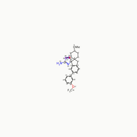 COC1CCC2(CC1)Cc1ccc(-c3cccc(OC(F)(F)F)c3)cc1C21N=C(N)N2CCON=C21